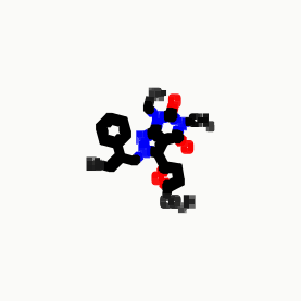 CCC=C(Cn1nc2c(c1-c1ccc(C(=O)O)o1)c(=O)n(C)c(=O)n2CC(C)C)c1ccccc1